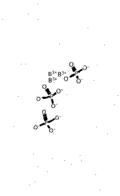 O=P([O-])([O-])[O-].O=P([O-])([O-])[O-].O=P([O-])([O-])[O-].[B+3].[B+3].[B+3]